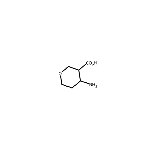 NC1CCOCC1C(=O)O